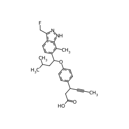 CC#CC(CC(=O)O)c1ccc(OC(CC(C)C)c2ccc3c(CF)n[nH]c3c2C)cc1